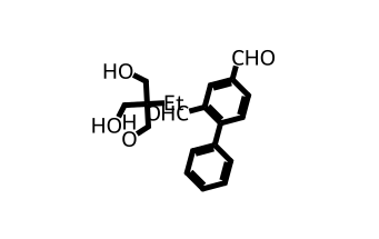 CCC(CO)(CO)CO.O=Cc1ccc(-c2ccccc2)c(C=O)c1